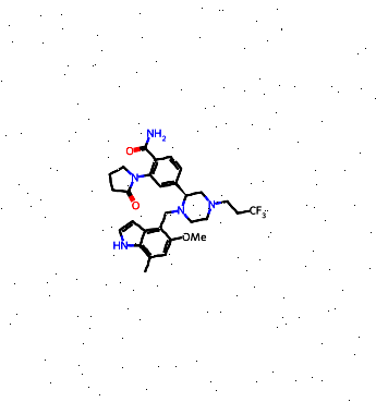 COc1cc(C)c2[nH]ccc2c1CN1CCN(CCC(F)(F)F)C[C@@H]1c1ccc(C(N)=O)c(N2CCCC2=O)c1